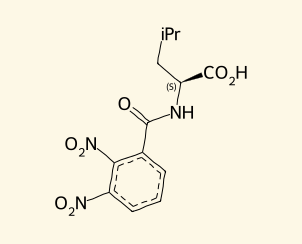 CC(C)C[C@H](NC(=O)c1cccc([N+](=O)[O-])c1[N+](=O)[O-])C(=O)O